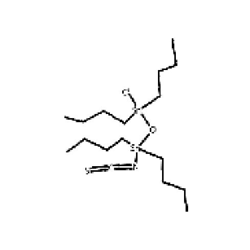 CCC[CH2][Sn]([Cl])([CH2]CCC)[O][Sn]([CH2]CCC)([CH2]CCC)[N]=C=S